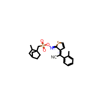 Cc1ccccc1/C(C#N)=C1\C=CS\C1=N/OS(=O)(=O)CC12CCC(CC1C)C2